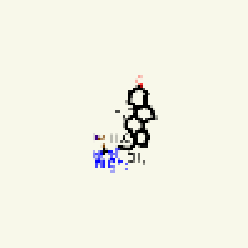 C[C@H](CN(N)/C(=N\N)SI)C1CCC2C3CCC4=CC(=O)CCC4(C)C3CCC21C